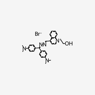 CN(C)c1ccc(C(=N/N=C/c2cc[n+](CCO)c3ccccc23)c2ccc(N(C)C)cc2)cc1.[Br-]